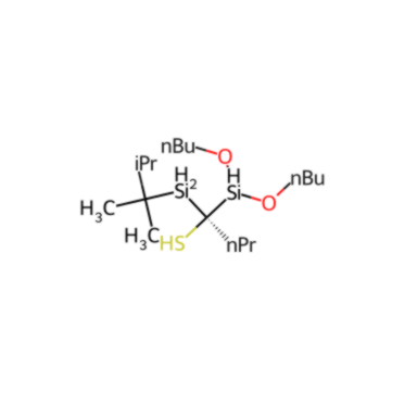 CCCCO[SiH](OCCCC)[C@](S)(CCC)[SiH2]C(C)(C)C(C)C